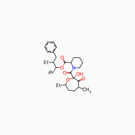 CCC1CCC(C)C(=O)C(O)(C(=O)N2CCCCC2C(=O)OC(C(C)C)C(CC)Cc2ccccc2)O1